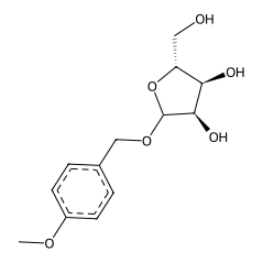 COc1ccc(COC2O[C@H](CO)[C@@H](O)[C@H]2O)cc1